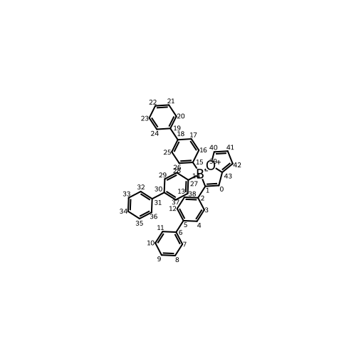 C1=C(c2ccc(-c3ccccc3)cc2)[B-](c2ccc(-c3ccccc3)cc2)(c2ccc(-c3ccccc3)cc2)[o+]2cccc21